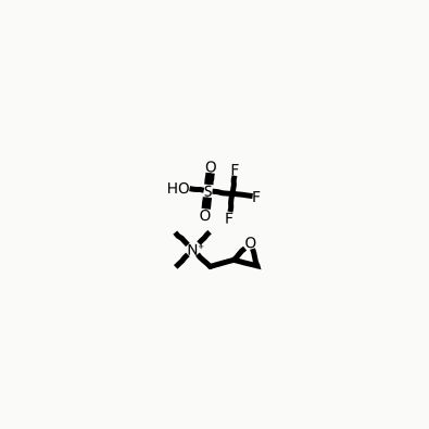 C[N+](C)(C)CC1CO1.O=S(=O)(O)C(F)(F)F